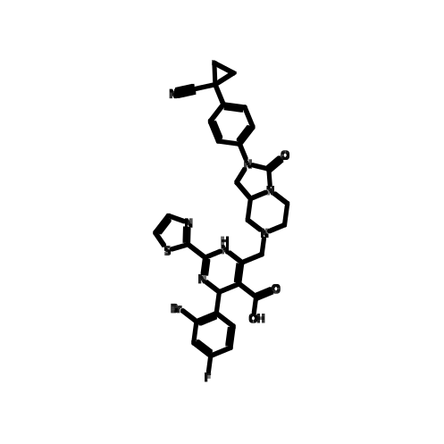 N#CC1(c2ccc(N3CC4CN(CC5=C(C(=O)O)C(c6ccc(F)cc6Br)N=C(c6nccs6)N5)CCN4C3=O)cc2)CC1